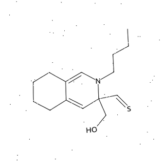 CCCCN1C=C2CCCCC2=CC1(C=S)CO